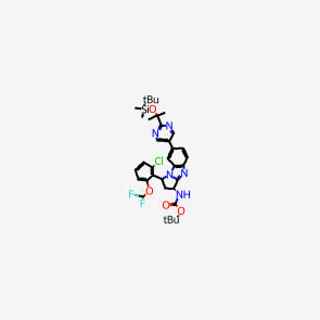 CC(C)(C)OC(=O)N[C@@H]1CC(c2c(Cl)cccc2OC(F)F)n2c1nc1ccc(-c3cnc(C(C)(C)O[Si](C)(C)C(C)(C)C)nc3)cc12